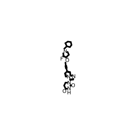 O=C1CCN(c2cnc3cc(C#CCO[C@H]4CCN(CC5CCCCC5)C[C@H]4F)ccn23)C(=O)N1